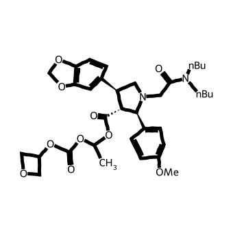 CCCCN(CCCC)C(=O)CN1C[C@H](c2ccc3c(c2)OCO3)[C@@H](C(=O)OC(C)OC(=O)OC2COC2)[C@@H]1c1ccc(OC)cc1